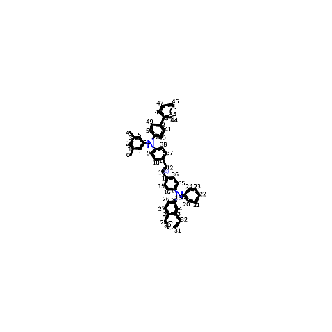 Cc1cc(C)cc(N(c2ccc(/C=C/c3ccc(N(c4ccccc4)c4ccc5ccccc5c4)cc3)cc2)c2ccc(-c3ccccc3)cc2)c1